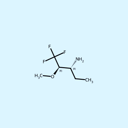 CC[C@@H](N)[C@@H](OC)C(F)(F)F